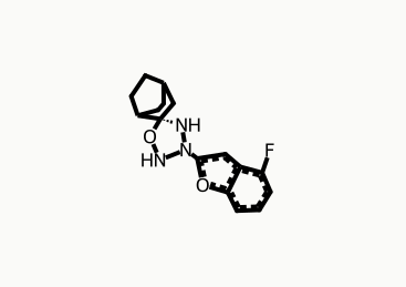 Fc1cccc2oc(N3NO[C@@]4(CC5CCC4CC5)N3)cc12